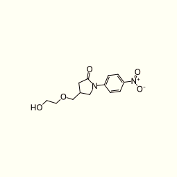 O=C1CC(COCCO)CN1c1ccc([N+](=O)[O-])cc1